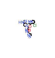 Cn1ccc(-c2nnc(C(=O)N3CCc4[nH]cnc4[C@H]3c3cc4c(Cl)cccn4n3)o2)n1